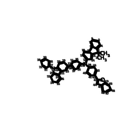 CC1(C)c2ccccc2-c2ccc(N(c3ccc(-c4ccc5c(c4)c4c(n5-c5ccccc5)CCC=C4)cc3)c3ccc(-c4cc5ccccc5o4)cc3)cc21